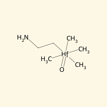 [CH3][Hf]([CH3])([CH3])([CH3])(=[O])[CH2]CN